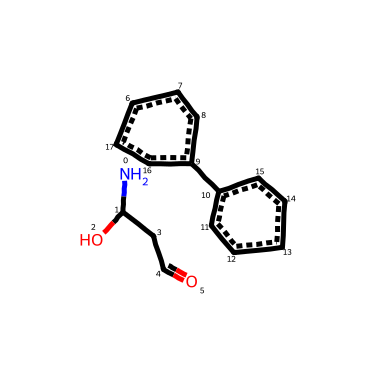 NC(O)CC=O.c1ccc(-c2ccccc2)cc1